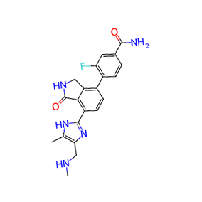 CNCc1nc(-c2ccc(-c3ccc(C(N)=O)cc3F)c3c2C(=O)NC3)[nH]c1C